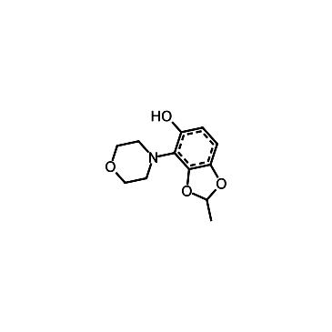 CC1Oc2ccc(O)c(N3CCOCC3)c2O1